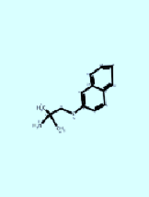 CC(C)(N)CSc1ccc2ccccc2c1